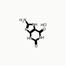 Cl.Nc1nc2[nH]c(=O)[nH]c(=O)c2[nH]1